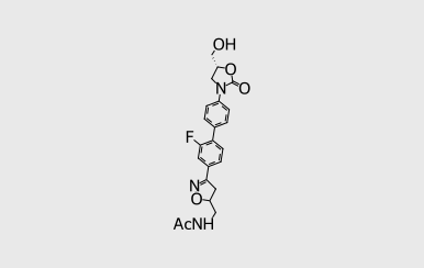 CC(=O)NCC1CC(c2ccc(-c3ccc(N4C[C@H](CO)OC4=O)cc3)c(F)c2)=NO1